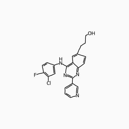 OCCCc1ccc2nc(-c3cccnc3)nc(Nc3ccc(F)c(Cl)c3)c2c1